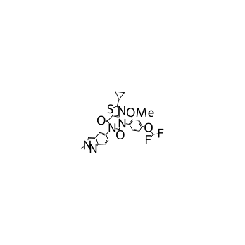 COc1cc(OC(F)F)ccc1-n1c(=O)n(-c2ccc3nn(C)cc3c2)c(=O)c2sc(C3CC3)nc21